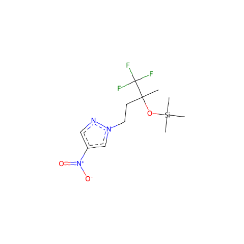 CC(CCn1cc([N+](=O)[O-])cn1)(O[Si](C)(C)C)C(F)(F)F